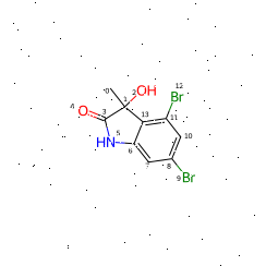 CC1(O)C(=O)Nc2cc(Br)cc(Br)c21